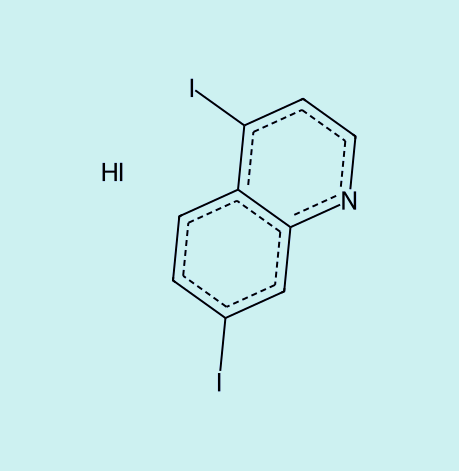 I.Ic1ccc2c(I)ccnc2c1